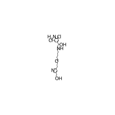 Nc1c(Cl)cc(C(O)CNCCCCCCOCCCc2cncc(CCO)c2)cc1Cl